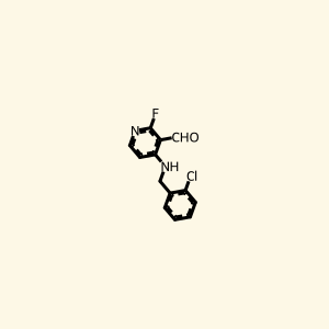 O=Cc1c(NCc2ccccc2Cl)ccnc1F